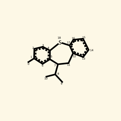 Cc1ccc2c(c1)C(C(C)C)Cc1ccccc1S2